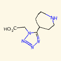 O=C(O)Cn1nnnc1C1CCNCC1